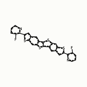 Fc1cccnc1-c1cc2cc3c(cc2s1)sc1c2cc4cc(-c5ncccc5F)sc4cc2sc31